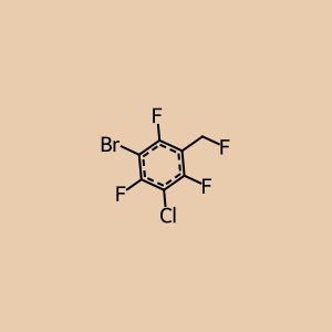 FCc1c(F)c(Cl)c(F)c(Br)c1F